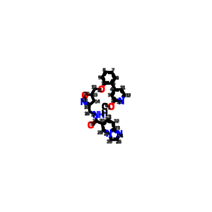 COc1cc(-c2ccccc2OCC2CC(CNC(=O)c3ccc4nccn4c3)=NO2)ccn1